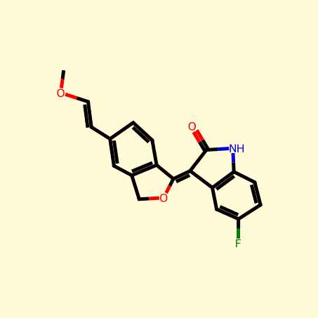 COC=Cc1ccc2c(c1)COC2=C1C(=O)Nc2ccc(F)cc21